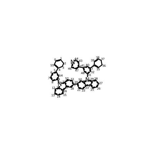 C1=CCCC(c2cccc(-n3c4ccccc4c4cc(-c5ccc6c7ccccc7n(-c7cc(C8=CCCC=C8)cc(-c8ccncc8)c7)c6c5)ccc43)c2)=C1